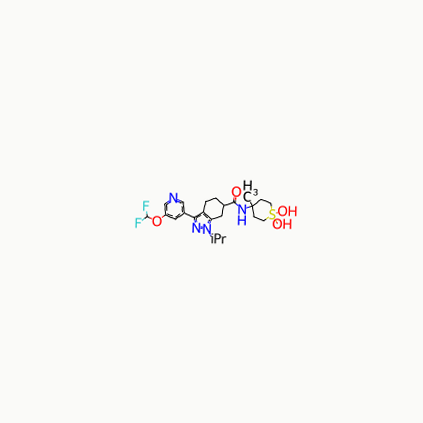 CC(C)n1nc(-c2cncc(OC(F)F)c2)c2c1CC(C(=O)NC1(C)CCS(O)(O)CC1)CC2